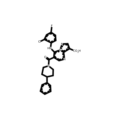 O=C(O)c1cnn2c(Nc3ccc(F)cc3Cl)c(C(=O)N3CCC(c4ccccc4)CC3)cnc12